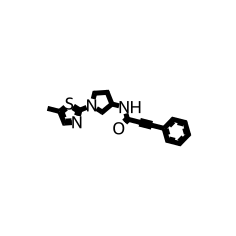 Cc1cnc(N2CCC(NC(=O)C#Cc3ccccc3)C2)s1